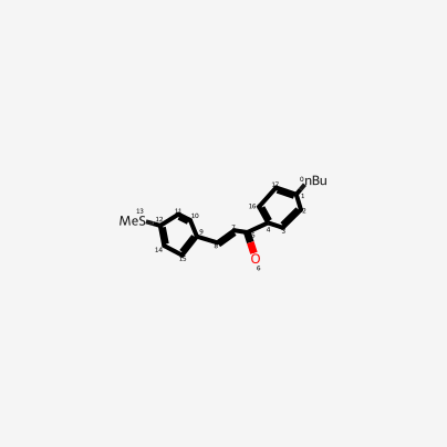 CCCCc1ccc(C(=O)/C=C/c2ccc(SC)cc2)cc1